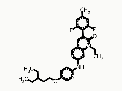 CCC(CC)CCOc1ccc(Nc2cc3c(cn2)cc(-c2c(F)cc(C)cc2F)c(=O)n3CC)nc1